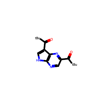 CC(C)(C)C(=O)c1cnc2[nH]cc(C(=O)C(C)(C)C)c2n1